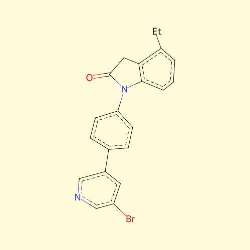 CCc1cccc2c1CC(=O)N2c1ccc(-c2cncc(Br)c2)cc1